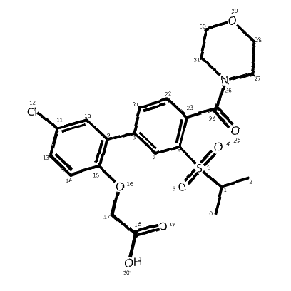 CC(C)S(=O)(=O)c1cc(-c2cc(Cl)ccc2OCC(=O)O)ccc1C(=O)N1CCOCC1